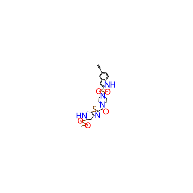 C#Cc1ccc2[nH]c(S(=O)(=O)N3CCN(C(=O)c4nc5c(s4)CNC(S(C)(=O)=O)C5)CC3)cc2c1